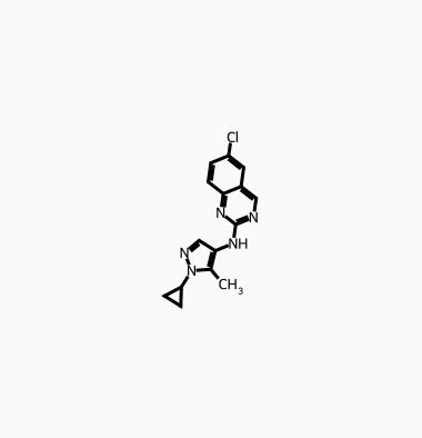 Cc1c(Nc2ncc3cc(Cl)ccc3n2)cnn1C1CC1